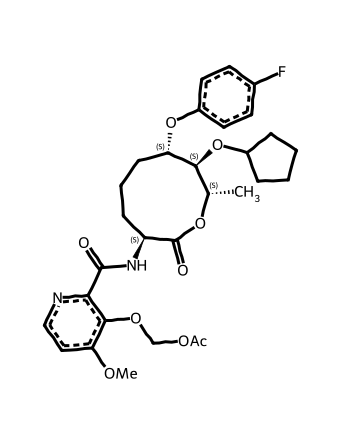 COc1ccnc(C(=O)N[C@H]2CCC[C@H](Oc3ccc(F)cc3)[C@@H](OC3CCCC3)[C@H](C)OC2=O)c1OCOC(C)=O